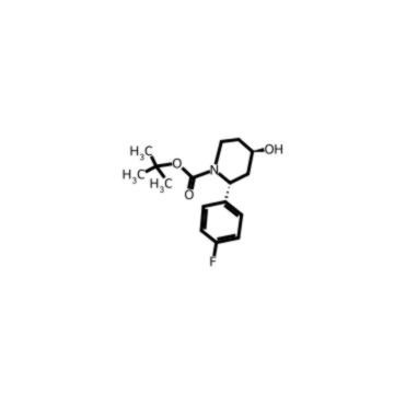 CC(C)(C)OC(=O)N1CC[C@@H](O)C[C@@H]1c1ccc(F)cc1